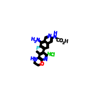 Cc1c(-c2cc3cc(NC(=O)O)ncc3c(N)c2F)cnc2c1NCCO2.Cl